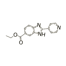 CCOC(=O)c1ccc2nc(-c3ccncc3)[nH]c2c1